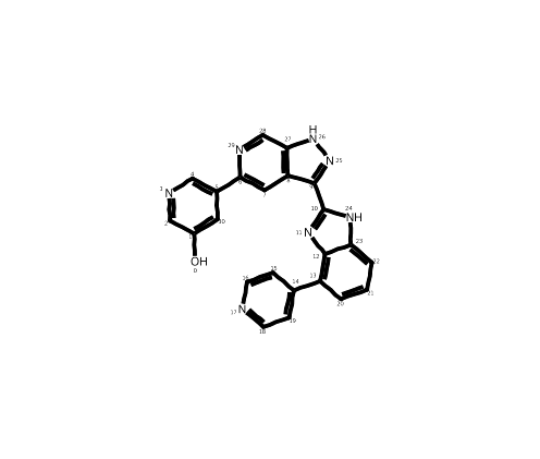 Oc1cncc(-c2cc3c(-c4nc5c(-c6ccncc6)cccc5[nH]4)n[nH]c3cn2)c1